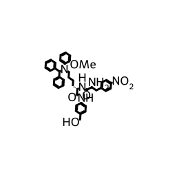 COc1ccccc1N(CCCC[C@H](NC(=O)[C@@H](N)Cc1ccc([N+](=O)[O-])cc1)C(=O)Nc1ccc(CO)cc1)C(c1ccccc1)c1ccccc1